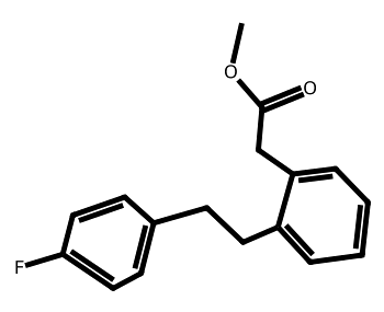 COC(=O)Cc1ccccc1CCc1ccc(F)cc1